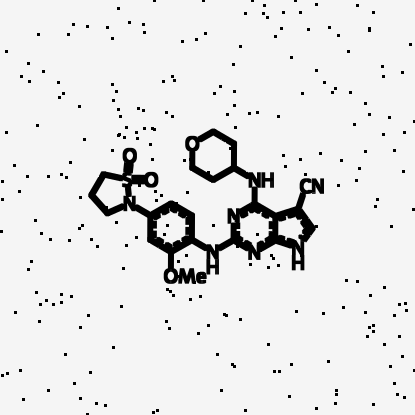 COc1cc(N2CCCS2(=O)=O)ccc1Nc1nc(NC2CCOCC2)c2c(C#N)c[nH]c2n1